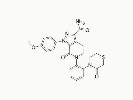 COc1ccc(-n2nc(C(N)=O)c3c2C(=O)N(c2ccccc2N2CCSCC2=O)CC3)cc1